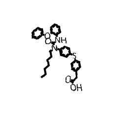 CCCCCCCN(C(=O)Nc1ccccc1Oc1ccccc1)c1ccc(Sc2ccc(CC(=O)O)cc2)cc1